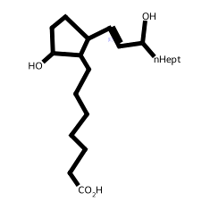 CCCCCCCC(O)/C=C/C1CCC(O)C1CCCCCCC(=O)O